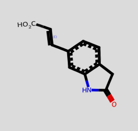 O=C(O)/C=C/c1ccc2c(c1)NC(=O)C2